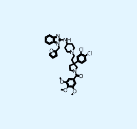 COc1cc(C(=O)N2CCC(CCN3CCC(Nc4nc5ccccc5n4Cc4ccco4)CC3)(c3ccc(Cl)c(Cl)c3)C2)cc(OC)c1OC